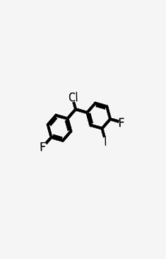 Fc1ccc(C(Cl)C2=CC(I)C(F)C=C2)cc1